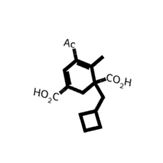 CC(=O)C1=C(C)C(CC2CCC2)(C(=O)O)CC(C(=O)O)=C1